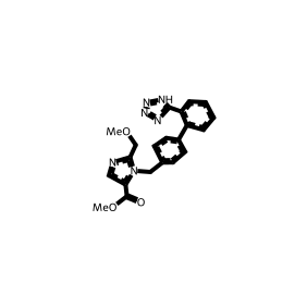 COCc1ncc(C(=O)OC)n1Cc1ccc(-c2ccccc2-c2nnn[nH]2)cc1